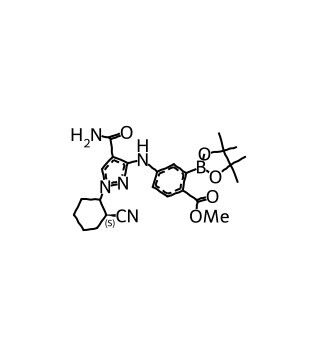 COC(=O)c1ccc(Nc2nn(C3CCCC[C@@H]3C#N)cc2C(N)=O)cc1B1OC(C)(C)C(C)(C)O1